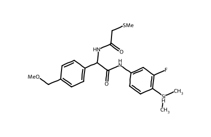 COCc1ccc(C(NC(=O)CSC)C(=O)Nc2ccc([SiH](C)C)c(F)c2)cc1